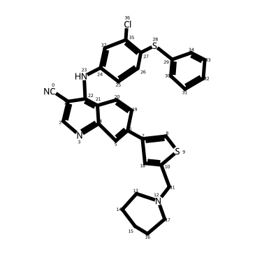 N#Cc1cnc2cc(-c3csc(CN4CCCCC4)c3)ccc2c1Nc1ccc(Sc2ccccc2)c(Cl)c1